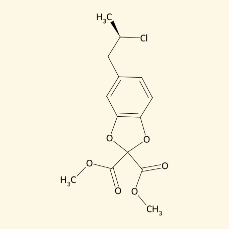 COC(=O)C1(C(=O)OC)Oc2ccc(C[C@@H](C)Cl)cc2O1